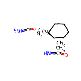 C.C.C.C.C1CCCCC1.N=C=O.N=C=O